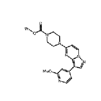 COc1cc(-c2cnn3ccc(N4CCN(C(=O)OC(C)C)CC4)nc23)ccn1